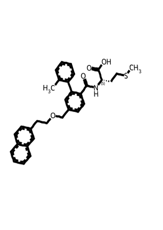 CSCC[C@H](NC(=O)c1ccc(COCCc2ccc3ccccc3c2)cc1-c1ccccc1C)C(=O)O